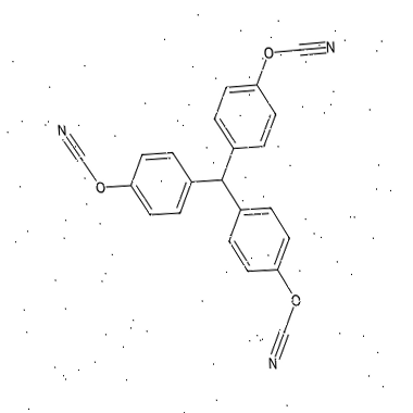 N#COc1ccc(C(c2ccc(OC#N)cc2)c2ccc(OC#N)cc2)cc1